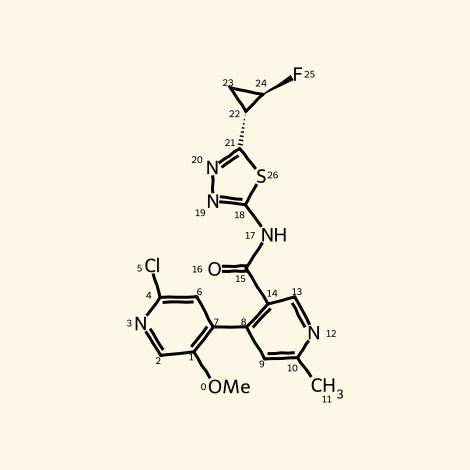 COc1cnc(Cl)cc1-c1cc(C)ncc1C(=O)Nc1nnc([C@@H]2C[C@H]2F)s1